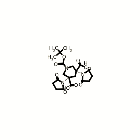 CC(C)(C)OC(=O)N1C[C@](C(=O)O)(N2C(=O)CCC2=O)C[C@](C(=O)O)(N2C(=O)CCC2=O)C1